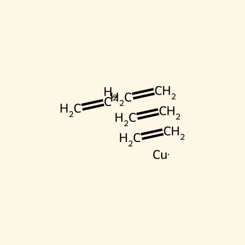 C=C.C=C.C=C.C=C.[Cu]